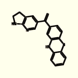 C=C(c1cnc2c(c1)CCN2)c1ccc2c(c1)Nc1ccccc1S2